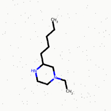 [CH2]CN1CCNC(CCCCC)C1